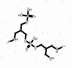 O=P(O)(O)OCC(CNF)COP(=O)(O)OCC(CO)CNF